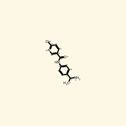 CC(N)c1ccc(NC(=O)c2ccc(Cl)nc2)cc1